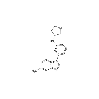 Cc1ccn2c(-c3cncc(N[C@@H]4CCNC4)n3)cnc2c1